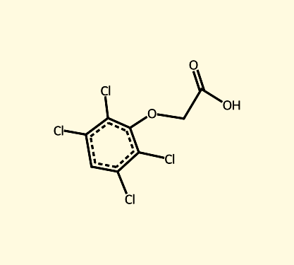 O=C(O)COc1c(Cl)c(Cl)cc(Cl)c1Cl